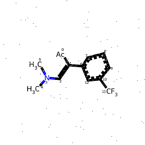 CC(=O)C(=CN(C)C)c1cccc(C(F)(F)F)c1